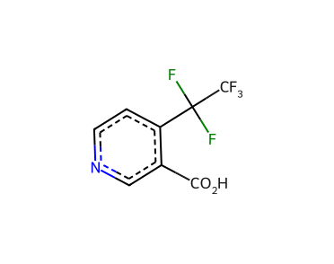 O=C(O)c1cnccc1C(F)(F)C(F)(F)F